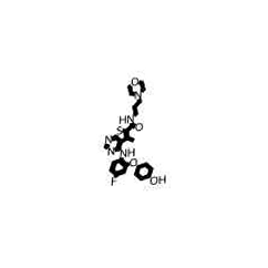 Cc1c(C(=O)NCCCN2CCOCC2)sc2ncnc(Nc3ccc(F)cc3O[C@H]3CC[C@H](O)CC3)c12